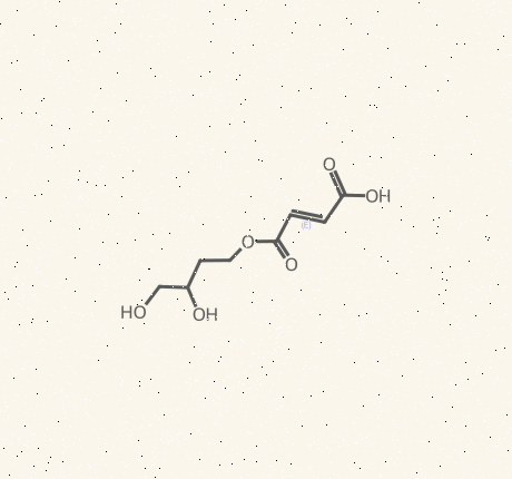 O=C(O)/C=C/C(=O)OCCC(O)CO